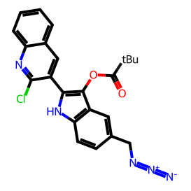 CC(C)(C)C(=O)Oc1c(-c2cc3ccccc3nc2Cl)[nH]c2ccc(CN=[N+]=[N-])cc12